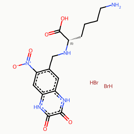 Br.Br.NCCCC[C@H](NCc1cc2[nH]c(=O)c(=O)[nH]c2cc1[N+](=O)[O-])C(=O)O